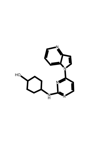 OC1CCC(Nc2nccc(-n3ccc4ncccc43)n2)CC1